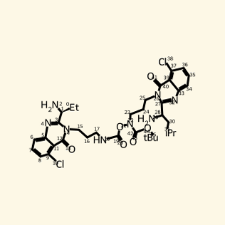 CC[C@H](N)c1nc2cccc(Cl)c2c(=O)n1CCCNC(=O)ON(CCCn1c(C(N)CC(C)C)nc2cccc(Cl)c2c1=O)C(=O)OC(C)(C)C